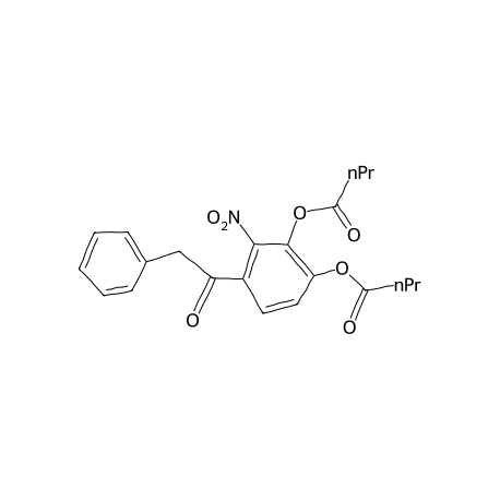 CCCC(=O)Oc1ccc(C(=O)Cc2ccccc2)c([N+](=O)[O-])c1OC(=O)CCC